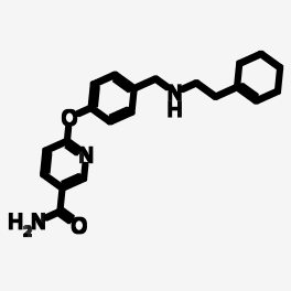 NC(=O)c1ccc(Oc2ccc(CNCCC3=CCCCC3)cc2)nc1